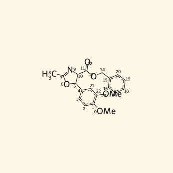 COc1ccc(C2OC(C)=NC2C(=O)OCc2ccccc2)cc1OC